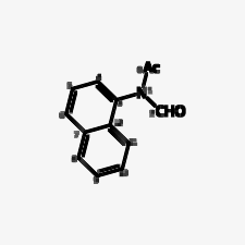 CC(=O)N(C=O)c1cccc2ccccc12